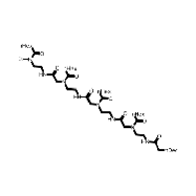 CCCCCCCCCCCC(=O)NCCN(CC(=O)NCCN(CC(=O)NCCN(CC(=O)NCCN(CC)C(=O)CCCCCC)C(=O)CCCCCC)C(=O)CCCCCC)C(=O)CCCCCC